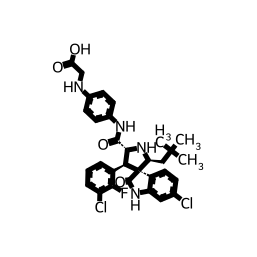 CC(C)(C)C[C@@H]1N[C@@H](C(=O)Nc2ccc(NCC(=O)O)cc2)[C@H](c2cccc(Cl)c2F)[C@]12C(=O)Nc1cc(Cl)ccc12